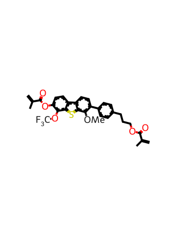 C=C(C)C(=O)OCCCc1ccc(-c2ccc3c(sc4c(OC(F)(F)F)c(OC(=O)C(=C)C)ccc43)c2OC)cc1